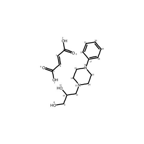 O=C(O)C=CC(=O)O.OCC(O)CN1CCN(c2ccccc2)CC1